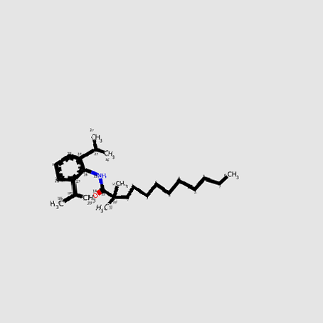 CCCCCCCCCCC(C)(C)C(=O)Nc1c(C(C)C)cccc1C(C)C